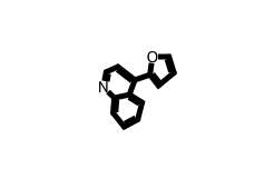 c1coc(-c2ccnc3ccccc23)c1